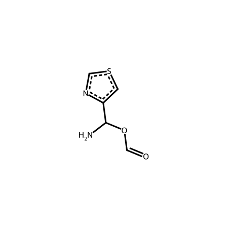 NC(OC=O)c1cscn1